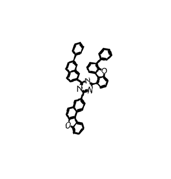 c1ccc(-c2ccc3ccc(-c4nc(-c5ccc6c(ccc7oc8ccccc8c76)c5)nc(-c5cccc6oc7c(-c8ccccc8)cccc7c56)n4)cc3c2)cc1